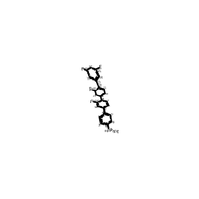 CCCCCc1ccc(-c2ccc(C3=CC=C(c4cc(F)cc(F)c4)C(F)C3)c(F)c2)cc1